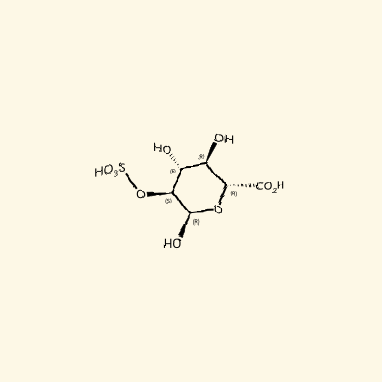 O=C(O)[C@@H]1O[C@@H](O)[C@@H](OS(=O)(=O)O)[C@H](O)[C@H]1O